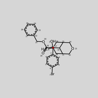 CC(O)(c1ccc(Br)cc1)C1C2COCC1CN(C(=O)OCc1ccccc1)C2